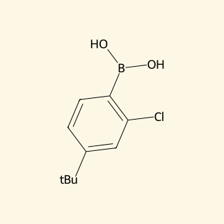 CC(C)(C)c1ccc(B(O)O)c(Cl)c1